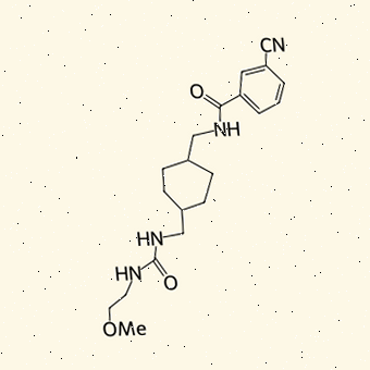 COCCNC(=O)NCC1CCC(CNC(=O)c2cccc(C#N)c2)CC1